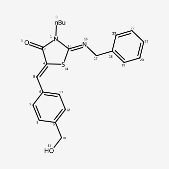 CCCCN1C(=O)C(=Cc2ccc(CO)cc2)SC1=NCc1ccccc1